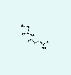 C=C(NC(=O)OC(C)(C)C)S/C=C(\N)C(C)=O